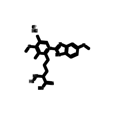 COc1ccc2[nH]c(-[n+]3cc(C)c(OC)c(C)c3CCCC(NS)C(O)=S)nc2c1.Cl.[Cl-]